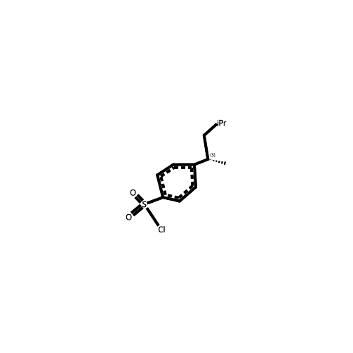 CC(C)C[C@H](C)c1ccc(S(=O)(=O)Cl)cc1